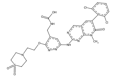 Cn1c(=O)c(-c2c(Cl)cccc2Cl)cc2cnc(Nc3cc(CNC(=O)O)c(OCCN4CCS(=O)(=O)CC4)nn3)nc21